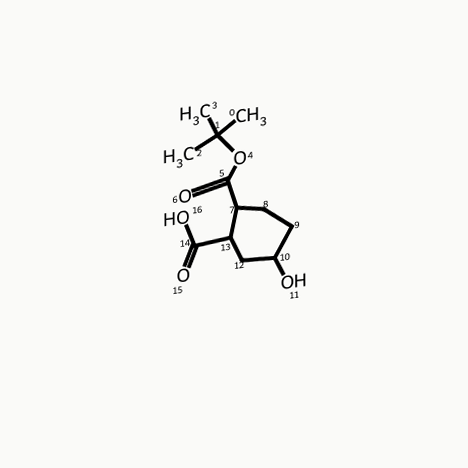 CC(C)(C)OC(=O)C1CCC(O)CC1C(=O)O